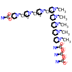 CC[n+]1ccccc1.CC[n+]1ccccc1.CC[n+]1ccccc1.CC[n+]1ccccc1.CC[n+]1ccccc1.CC[n+]1ccccc1.CC[n+]1ccccc1.CC[n+]1ccccc1.N#CB([O-])[O-].N#CB([O-])[O-].N#CB([O-])[O-].N#CB([O-])[O-]